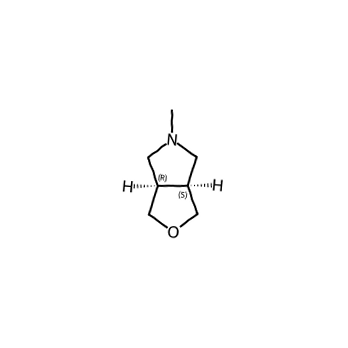 CN1C[C@H]2COC[C@H]2C1